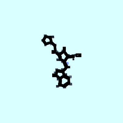 Cl.O=C1NC(NCC2CCCO2)=N/C1=C\c1c[nH]c2ncccc12